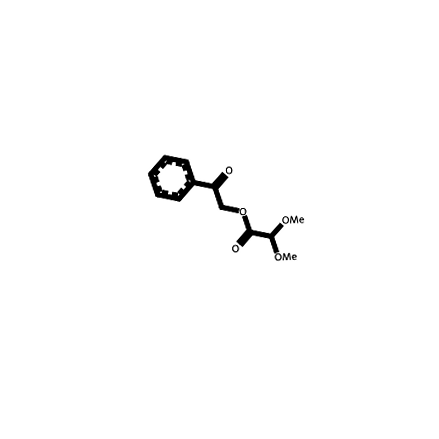 COC(OC)C(=O)OCC(=O)c1ccccc1